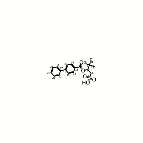 O=C(OC(CS(=O)(=O)O)C(F)(F)F)c1ccc(-c2ccccc2)cc1